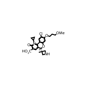 COCCCOc1cc2c(cc1Cl)-c1c(cc(C(=O)O)c(=O)n1C1CC1)[C@@H](C1(C)CNC1)O2